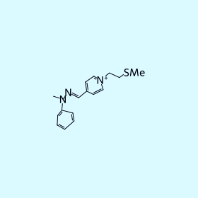 CSCC[n+]1ccc(/C=N/N(C)c2ccccc2)cc1